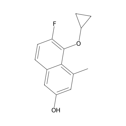 Cc1cc(O)cc2ccc(F)c(OC3CC3)c12